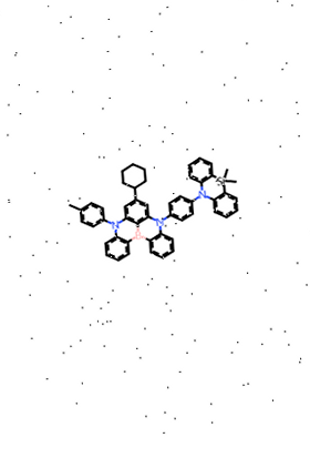 Cc1ccc(N2c3ccccc3B3c4ccccc4N(c4ccc(N5c6ccccc6[Si](C)(C)c6ccccc65)cc4)c4cc(C5CCCCC5)cc2c43)cc1